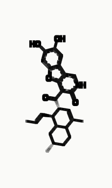 C/C=C/[C@@H]1C2C[C@@H](C)CCC2C(C)=C[C@H]1C(=O)c1c(=O)[nH]cc2c1oc1cc(O)c(O)cc12